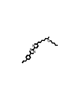 C=CCc1ccc(-c2cnc(-c3ccc(C=CCCCC(C)OCCCCC)cn3)nc2)cc1